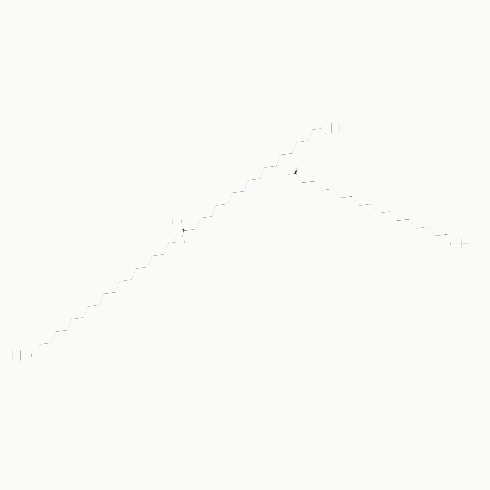 CCCCCCCCCCCCCCCCCCOC(=O)CCCCCCCCCCC(CCCCCC)OC(=O)CCCCCCCCCCCCCCCCC